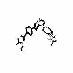 CC(C)NC(=O)N1CCN(c2ccnn3cc(-c4ccc(C(C)CN(CCN)C(C)C)cc4)cc23)CC1